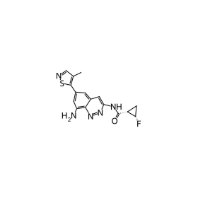 Cc1cnsc1-c1cc(N)c2nnc(NC(=O)[C@@H]3C[C@@H]3F)cc2c1